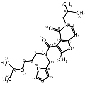 Cc1oc2ncn(CC(C)C)c(=O)c2c1C(=O)N(CCCOC(C)C)Cc1ccco1